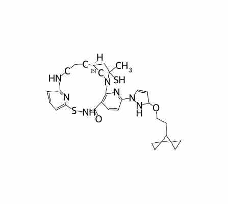 CC1(S)C[C@@H]2CCCNc3cccc(n3)SNC(=O)c3ccc(N4C=CC(OCCC5C6(CC6)C56CC6)N4)nc3N1C2